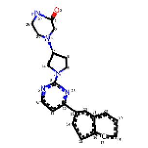 O=C1CN([C@H]2CCN(c3nccc(-c4ccc5ccccc5c4)n3)C2)CCN1